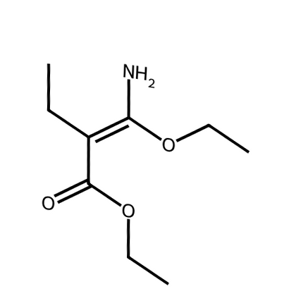 CCOC(=O)C(CC)=C(N)OCC